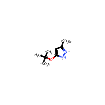 CCOC(=O)c1cc(OC(C)(C)C(=O)O)[nH]n1